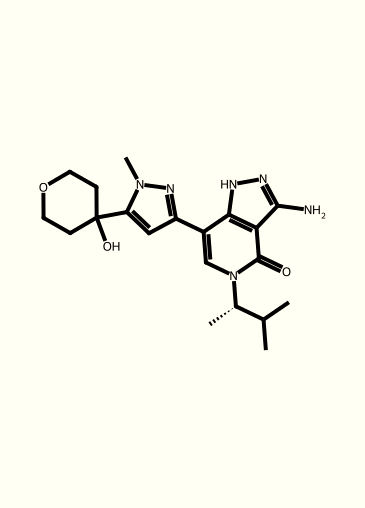 CC(C)[C@H](C)n1cc(-c2cc(C3(O)CCOCC3)n(C)n2)c2[nH]nc(N)c2c1=O